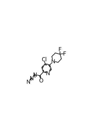 [N-]=[N+]=NC(=O)c1cc(Cl)c(N2CCC(F)(F)CC2)cn1